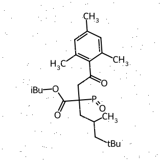 CCC(C)OC(=O)C(CC(=O)c1c(C)cc(C)cc1C)(CC(C)CC(C)(C)C)P=O